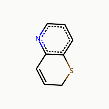 C1=Cc2ncccc2SC1